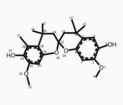 COc1cc2c(cc1O)C(C)(C)CC1(CC(C)(C)c3c(cc(OC)c(O)c3C)O1)O2